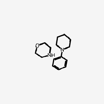 C1COCCN1.c1ccc(N2CCCCC2)cc1